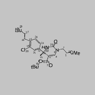 COCCN1C=C(C(=O)OC(C)(C)C)[C@](C)(c2ccc(CCC(C)(C)C)c(Cl)c2)NC1=O